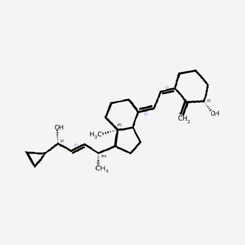 C=C1/C(=C\C=C2/CCC[C@@]3(C)C2CCC3[C@H](C)/C=C/[C@@H](O)C2CC2)CCC[C@@H]1O